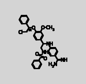 COc1cc(C(CNS(=O)(=O)c2ccccc2)Nc2ccc(C(=N)N)cc2)ccc1O[C@@H](CCl)c1ccccc1